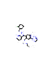 COCCN(CC1=C(c2nn(Cc3ccccc3F)c3ncccc23)CC(N)(OC)C(c2ncccn2)=C1)C(=O)O